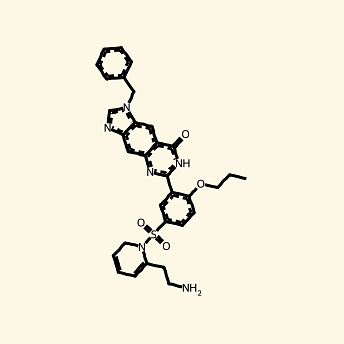 CCCOc1ccc(S(=O)(=O)N2CC=CC=C2CCN)cc1-c1nc2cc3ncn(Cc4ccccc4)c3cc2c(=O)[nH]1